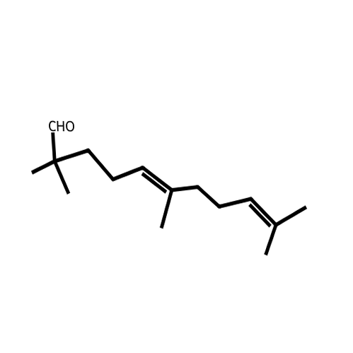 CC(C)=CCC/C(C)=C/CCC(C)(C)C=O